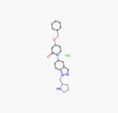 Cl.O=c1cc(OCc2ccccc2)ccn1-c1ccc2c(cnn2CC2CCCN2)c1